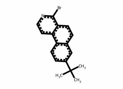 CC(C)(C)c1ccc2c(ccc3c(Br)nccc32)c1